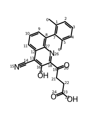 Cc1cccc(C)c1-c1cccc2c(C#N)c(O)c(C(=O)CCC(=O)O)nc12